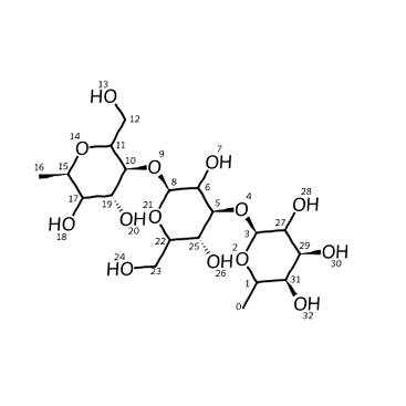 CC1O[C@@H](O[C@@H]2C(O)[C@H](O[C@@H]3C(CO)O[C@H](C)C(O)[C@H]3O)OC(CO)[C@H]2O)C(O)[C@@H](O)[C@H]1O